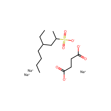 CCCCC(CC)CC(C)S(=O)(=O)[O-].O=C([O-])CCC(=O)[O-].[Na+].[Na+].[Na+]